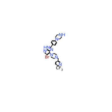 FC(F)(F)c1ccc(CN2CCN(c3c(Br)cnc4[nH]c(-c5ccc(N6CCNCC6)cc5)nc34)CC2)cn1